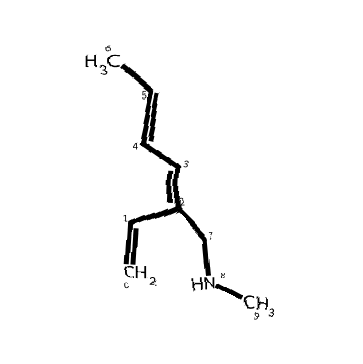 C=C/C(=C\C=C\C)CNC